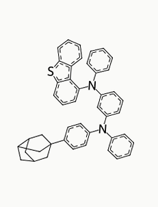 c1ccc(N(c2ccc(C34CC5CC(C3)C(C5)C4)cc2)c2cccc(N(c3ccccc3)c3cccc4sc5ccccc5c34)c2)cc1